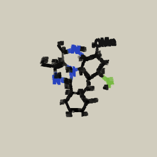 COc1cc(F)cc2c1nc(C)c1c(C)nc(-c3ccccc3C)n12